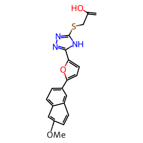 C=C(O)CSc1nnc(-c2ccc(-c3ccc4cc(OC)ccc4c3)o2)[nH]1